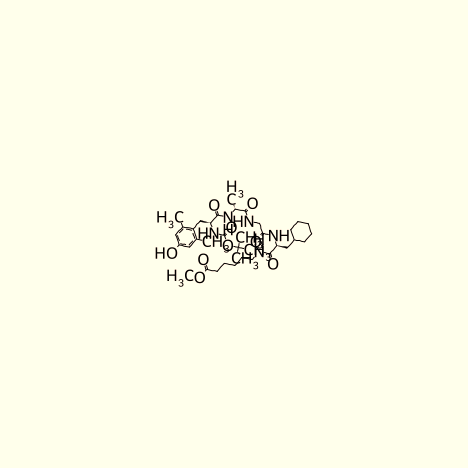 COC(=O)CCCCCNC(=O)[C@H](CC1CCCCC1)NC(=O)CNC(=O)[C@@H](C)NC(=O)[C@H](Cc1c(C)cc(O)cc1C)NC(=O)OC(C)(C)C